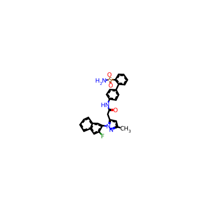 Cc1cc(CC(=O)Nc2ccc(-c3ccccc3S(N)(=O)=O)cc2)n(-c2cc3ccccc3cc2F)n1